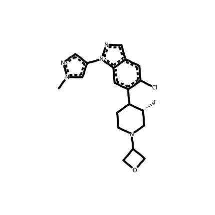 Cn1cc(-n2ncc3cc(Cl)c(C4CCN(C5COC5)C[C@H]4F)cc32)cn1